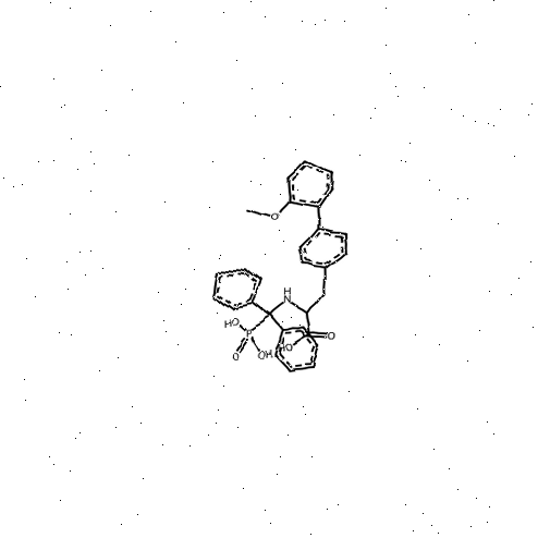 COc1ccccc1-c1ccc(CC(NC(c2ccccc2)(c2ccccc2)P(=O)(O)O)C(=O)O)cc1